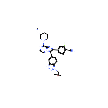 CN[C@@H]1CCCN(c2nccn3c(-c4ccc5c(c4)nnn5CC(C)(C)O)c(-c4ccc(C#N)c(F)c4)nc23)C1